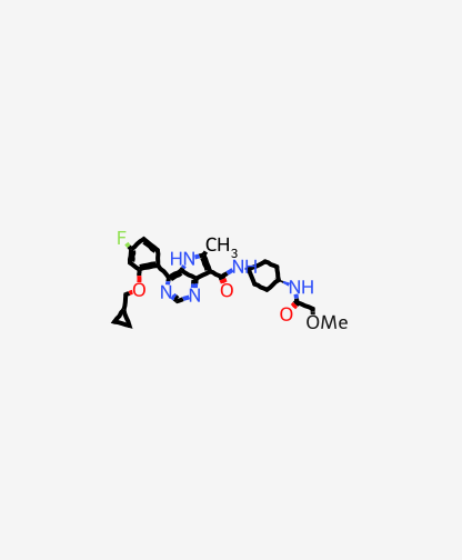 COCC(=O)N[C@H]1CC[C@H](NC(=O)c2c(C)[nH]c3c(-c4ccc(F)cc4OCC4CC4)ncnc23)CC1